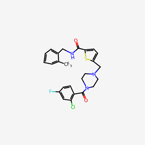 O=C(NCc1ccccc1C(F)(F)F)c1ccc(CN2CCN(C(=O)c3ccc(F)cc3Cl)CC2)s1